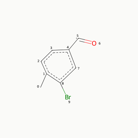 Cc1ccc([C]=O)cc1Br